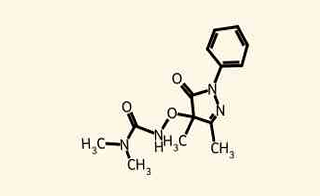 CC1=NN(c2ccccc2)C(=O)C1(C)ONC(=O)N(C)C